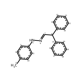 Cc1ccc(NN=CC(c2ccccc2)c2ccccc2)cc1